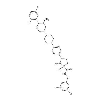 N[C@H]1C[C@H](N2CCN(c3ccc(N4CC[C@](O)(C(=O)NCc5cc(F)cc(Cl)c5)C4=O)cn3)CC2)CO[C@@H]1c1cc(F)ccc1F